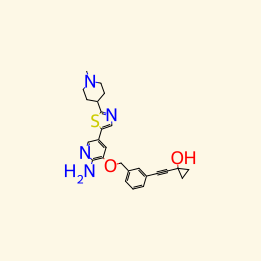 CN1CCC(c2ncc(-c3cnc(N)c(OCc4cccc(C#CC5(O)CC5)c4)c3)s2)CC1